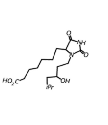 CC(C)CC(O)CCN1C(=O)NC(=O)C1CCCCCCC(=O)O